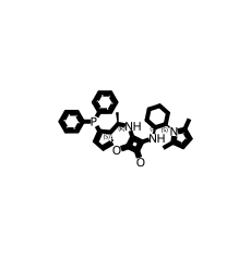 Cc1ccc(C)n1[C@H]1CCCC[C@@H]1Nc1c(N[C@H](C)[C@@H]2C=CC=C2P(c2ccccc2)c2ccccc2)c(=O)c1=O